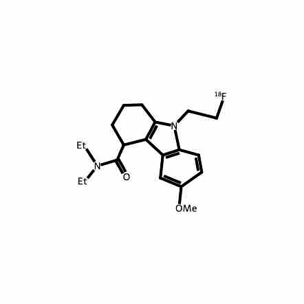 CCN(CC)C(=O)C1CCCc2c1c1cc(OC)ccc1n2CC[18F]